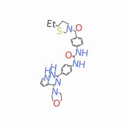 CC[C@H]1CCN(C(=O)c2ccc(NC(=O)Nc3ccc(C(=N)/N=C(\c4ccc[nH]4)N4CCOCC4)cc3)cc2)CS1